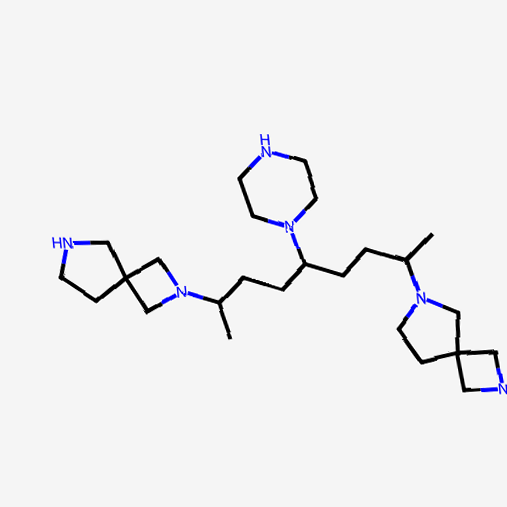 CC(CCC(CCC(C)N1CC2(CCNC2)C1)N1CCNCC1)N1CCC2(CNC2)C1